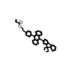 C=CC(=O)OCCc1ccc(-c2c3ccccc3c(-c3ccc4c(c3)C(CC)(CC)c3ccccc3-4)c3ccccc23)cc1